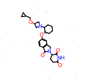 O=C1CCC(N2Cc3cc(O[C@H]4CCCCC4N4CC(OCC5CC5)C4)ccc3C2=O)C(=O)N1